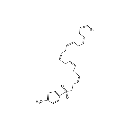 CC/C=C\C/C=C\C/C=C\C/C=C\C/C=C\C/C=C\CCS(=O)(=O)c1ccc(C)cc1